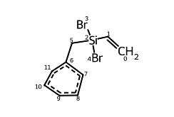 C=C[Si](Br)(Br)Cc1ccccc1